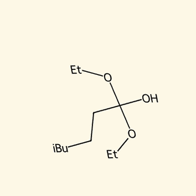 CCOC(O)(CCC(C)CC)OCC